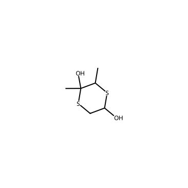 CC1SC(O)CSC1(C)O